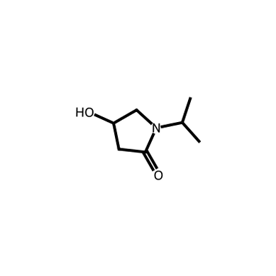 CC(C)N1CC(O)CC1=O